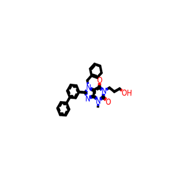 Cn1c(=O)n(CCCO)c(=O)c2c1nc(-c1cccc(-c3ccccc3)c1)n2CC1=CCCC=C1